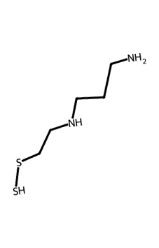 NCCCNCCSS